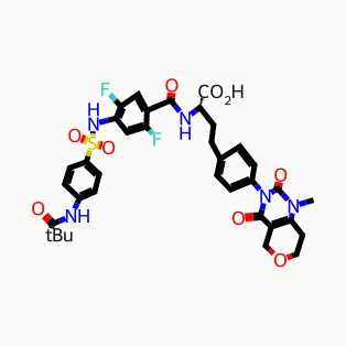 Cn1c2c(c(=O)n(-c3ccc(CC[C@H](NC(=O)c4cc(F)c(NS(=O)(=O)c5ccc(NC(=O)C(C)(C)C)cc5)cc4F)C(=O)O)cc3)c1=O)COCC2